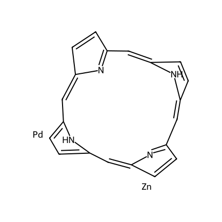 C1=Cc2cc3ccc(cc4nc(cc5ccc(cc1n2)[nH]5)C=C4)[nH]3.[Pd].[Zn]